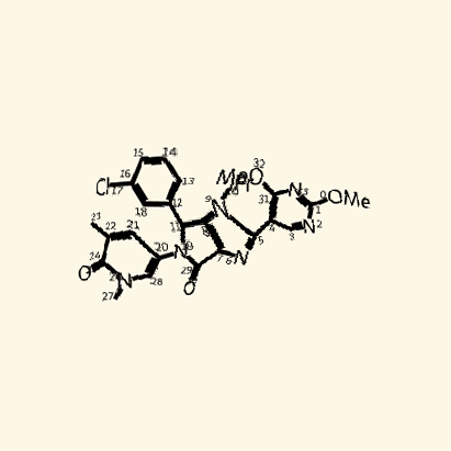 COc1ncc(-c2nc3c(n2C(C)C)C(c2cccc(Cl)c2)N(c2cc(C)c(=O)n(C)c2)C3=O)c(OC)n1